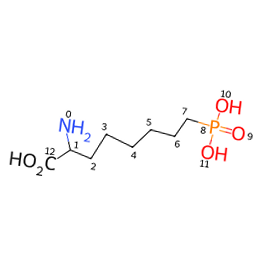 NC(CCCCCCP(=O)(O)O)C(=O)O